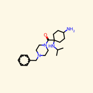 CC(C)NC1(C(=O)N2CCN(Cc3ccccc3)CC2)CCC(N)CC1